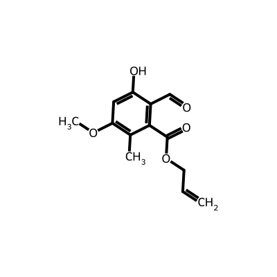 C=CCOC(=O)c1c(C)c(OC)cc(O)c1C=O